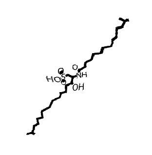 CC(C)CCCCCCCCCCCC(=O)NC(CS(=O)(=O)O)C(O)CCCCCCCCCCCC(C)C